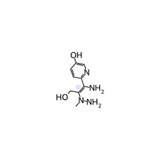 CN(N)/C(CO)=C(\N)c1ccc(O)cn1